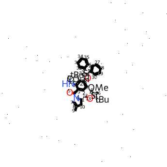 COc1cc(C(=O)N2C=C(C)C[C@H]2CO[Si](C)(C)C(C)(C)C)c(NC(=O)O)cc1O[Si](c1ccccc1)(c1ccccc1)C(C)(C)C